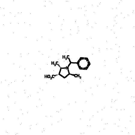 CC(c1ccccc1)N1[C@@H](C)C[C@H](C(=O)O)[C@@H]1C